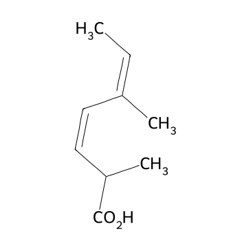 C/C=C(C)\C=C/C(C)C(=O)O